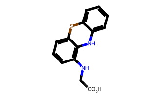 O=C(O)CNc1cccc2c1Nc1ccccc1S2